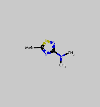 CNc1nc(N(C)C)ns1